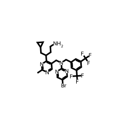 Cc1ncc(CN(Cc2cc(C(F)(F)F)cc(C(F)(F)F)c2)c2ncc(Br)cn2)c(C(CCN)CC2CC2)n1